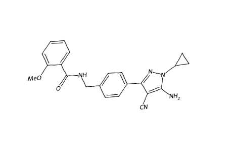 COc1ccccc1C(=O)NCc1ccc(-c2nn(C3CC3)c(N)c2C#N)cc1